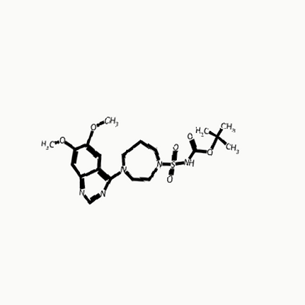 COc1cc2ncnc(N3CCCN(S(=O)(=O)NC(=O)OC(C)(C)C)CC3)c2cc1OC